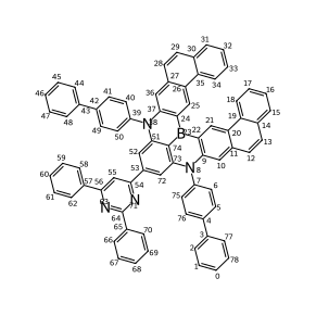 c1ccc(-c2ccc(N3c4cc5ccc6ccccc6c5cc4B4c5cc6c(ccc7ccccc76)cc5N(c5ccc(-c6ccccc6)cc5)c5cc(-c6cc(-c7ccccc7)nc(-c7ccccc7)n6)cc3c54)cc2)cc1